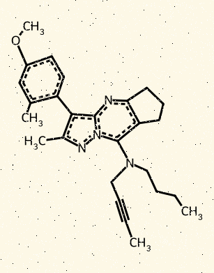 CC#CCN(CCCC)c1c2c(nc3c(-c4ccc(OC)cc4C)c(C)nn13)CCC2